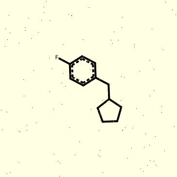 Fc1ccc([CH]C2CCCC2)cc1